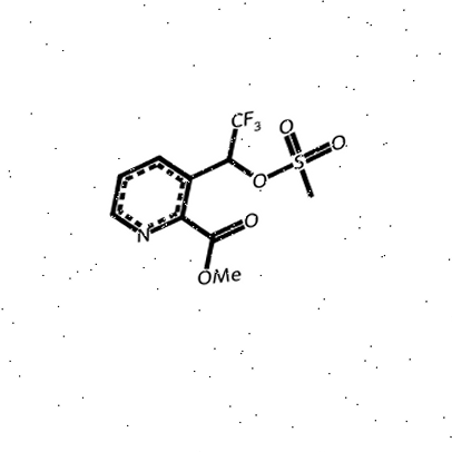 COC(=O)c1ncccc1C(OS(C)(=O)=O)C(F)(F)F